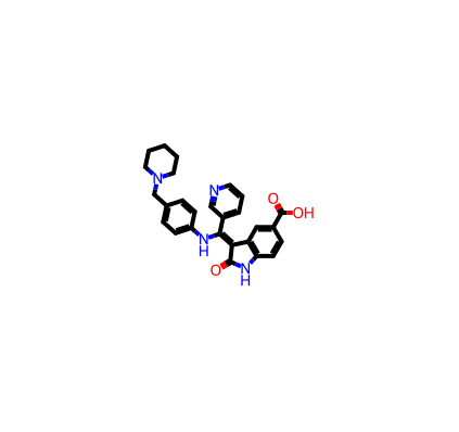 O=C1Nc2ccc(C(=O)O)cc2/C1=C(/Nc1ccc(CN2CCCCC2)cc1)c1cccnc1